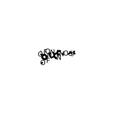 COc1cc(OC)c(F)c(N2Cc3cnc4c(ccn4COCC[Si](C)(C)C)c3N(C)C2=O)c1F